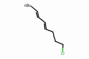 CCCCC=CC=CCCCCl